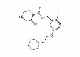 CCC1CNCCN1C(=O)OCc1cc(OCCC2CCCCC2)ccc1F